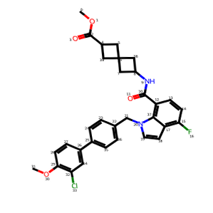 COC(=O)C1CC2(CC(NC(=O)c3ccc(F)c4ccn(Cc5ccc(-c6ccc(OC)c(Cl)c6)cc5)c34)C2)C1